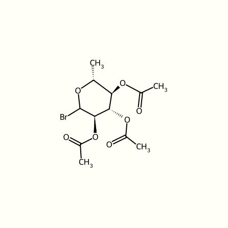 CC(=O)O[C@H]1[C@H](OC(C)=O)[C@@H](OC(C)=O)C(Br)O[C@@H]1C